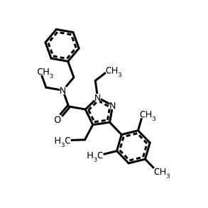 CCc1c(-c2c(C)cc(C)cc2C)nn(CC)c1C(=O)N(CC)Cc1ccccc1